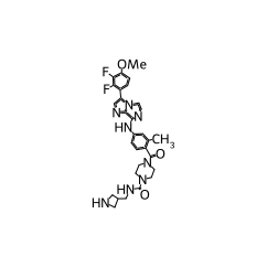 COc1ccc(-c2cnc3c(Nc4ccc(C(=O)N5CCN(C(=O)NCC6CNC6)CC5)c(C)c4)nccn23)c(F)c1F